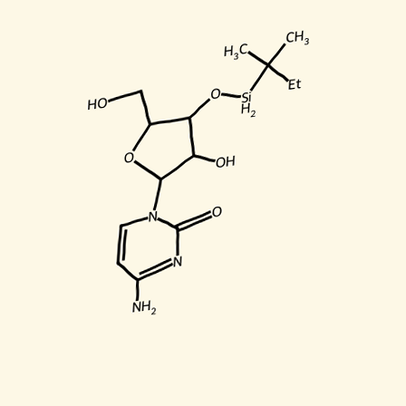 CCC(C)(C)[SiH2]OC1C(CO)OC(n2ccc(N)nc2=O)C1O